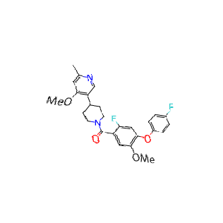 COc1cc(C(=O)N2CCC(c3cnc(C)cc3OC)CC2)c(F)cc1Oc1ccc(F)cc1